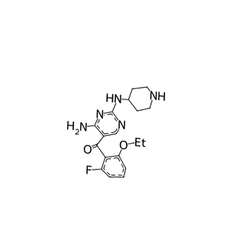 CCOc1cccc(F)c1C(=O)c1cnc(NC2CCNCC2)nc1N